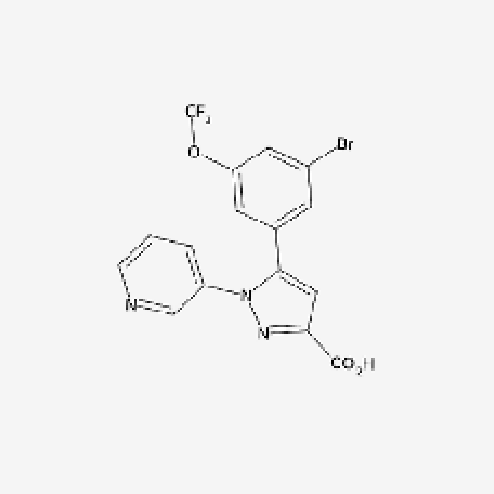 O=C(O)c1cc(-c2cc(Br)cc(OC(F)(F)F)c2)n(-c2cccnc2)n1